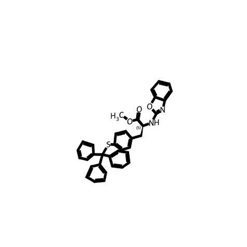 COC(=O)[C@H](Cc1ccc(SC(c2ccccc2)(c2ccccc2)c2ccccc2)cc1)Nc1nc2ccccc2o1